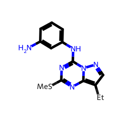 CCc1cnn2c(Nc3cccc(N)c3)nc(SC)nc12